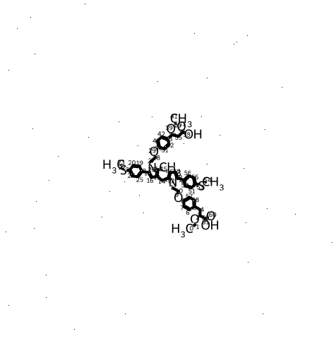 CCOC(Cc1ccc(OCCn2c(Cc3cc(-c4ccc(SC)cc4)n(CCOc4ccc(C(CC(=O)O)OCC)cc4)c3C)ccc2-c2ccc(SC)cc2)cc1)C(=O)O